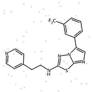 FC(F)(F)c1cccc(-c2cnc3sc(NCCc4ccncc4)nn23)c1